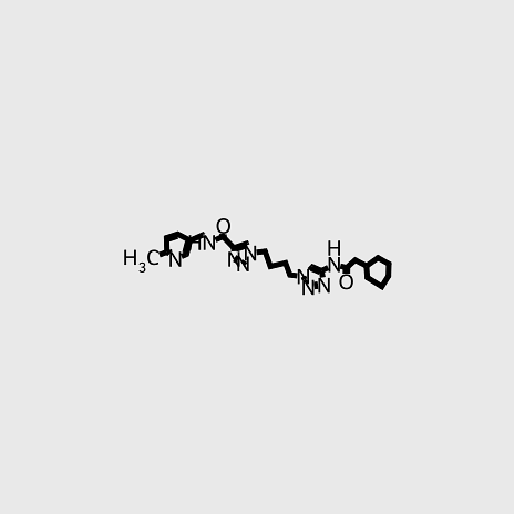 Cc1ccc(CNC(=O)c2cn(CCCCn3cc(NC(=O)CC4CCCCC4)nn3)nn2)cn1